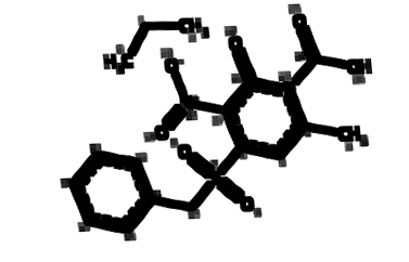 CCC.Cc1cc(S(=O)(=O)Cc2ccccc2)c([N+](=O)[O-])c(=O)n1C(=O)O